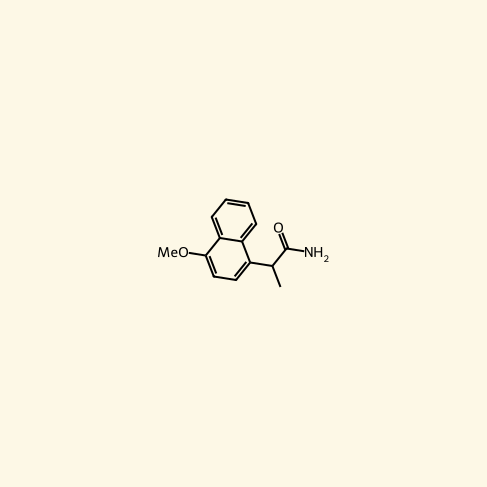 COc1ccc(C(C)C(N)=O)c2ccccc12